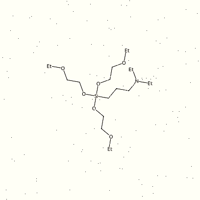 CCOCCO[Si](CCCN(CC)CC)(OCCOCC)OCCOCC